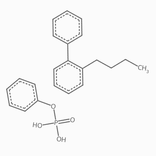 CCCCc1ccccc1-c1ccccc1.O=P(O)(O)Oc1ccccc1